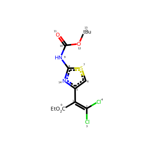 CCOC(=O)C(=C(Cl)Cl)c1csc(NC(=O)OC(C)(C)C)n1